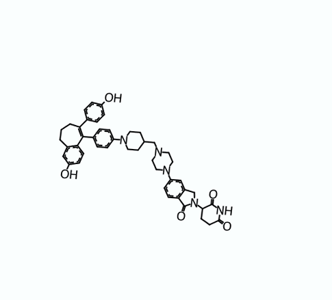 O=C1CCC(N2Cc3cc(N4CCN(CC5CCN(c6ccc(C7=C(c8ccc(O)cc8)CCCc8cc(O)ccc87)cc6)CC5)CC4)ccc3C2=O)C(=O)N1